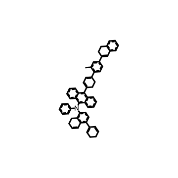 Cc1cc(C2=Cc3ccccc3CC2)ccc1C1=CC=C(c2c3ccccc3c(N(c3ccccc3)c3ccc(C4=CCCC=C4)c4c3CCC=C4)c3ccccc23)CC1